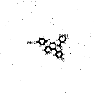 COc1ccc(OCCN(C(=O)C2CCNCC2)C(c2ccc(Cl)cc2)c2ccccn2)cc1